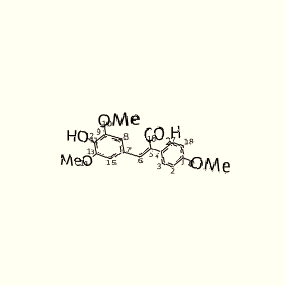 COc1ccc(C(=Cc2cc(OC)c(O)c(OC)c2)C(=O)O)cc1